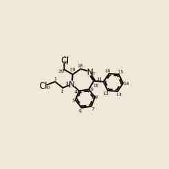 ClCCN1c2ccccc2C(c2ccccc2)=NCC1CCl